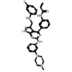 C=CC(=O)Nc1cccc(-c2nc(Nc3cccc(N4CCN(C)CC4)c3)nc3[nH]nc(CNc4cccc(F)c4)c23)c1